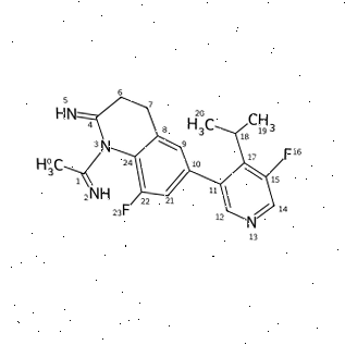 CC(=N)N1C(=N)CCc2cc(-c3cncc(F)c3C(C)C)cc(F)c21